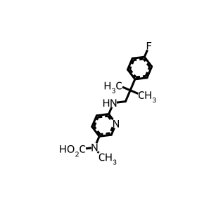 CN(C(=O)O)c1ccc(NCC(C)(C)c2ccc(F)cc2)nc1